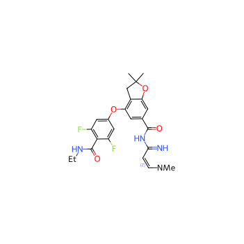 CCNC(=O)c1c(F)cc(Oc2cc(C(=O)NC(=N)/C=C\NC)cc3c2CC(C)(C)O3)cc1F